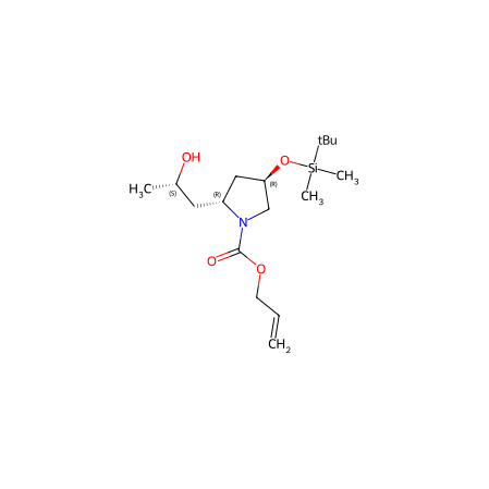 C=CCOC(=O)N1C[C@H](O[Si](C)(C)C(C)(C)C)C[C@H]1C[C@H](C)O